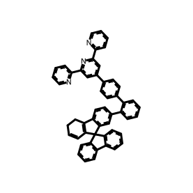 C1=CC2=C(CC1)c1ccc(-c3ccccc3-c3ccc(-c4cc(-c5ccccn5)nc(-c5ccccn5)c4)cc3)cc1C21c2ccccc2-c2ccccc21